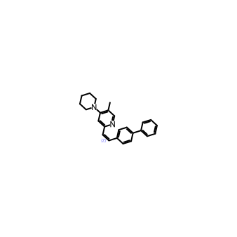 Cc1cnc(/C=C\c2ccc(-c3ccccc3)cc2)cc1N1CCCCC1